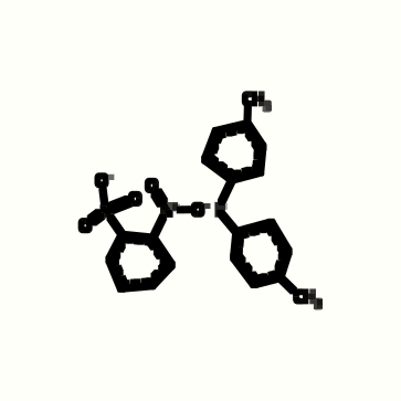 Cc1ccc([I+]c2ccc(C)cc2)cc1.O=[N+]([O-])c1ccccc1S(=O)(=O)[O-]